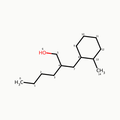 CCCCC(CO)CC1CCCCC1C